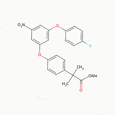 COC(=O)C(C)(C)c1ccc(Oc2cc(Oc3ccc(F)cc3)cc([N+](=O)[O-])c2)cc1